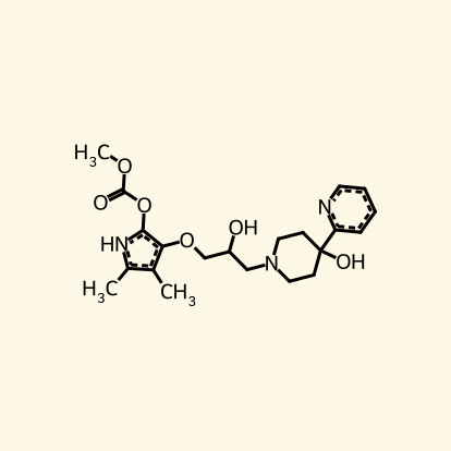 COC(=O)Oc1[nH]c(C)c(C)c1OCC(O)CN1CCC(O)(c2ccccn2)CC1